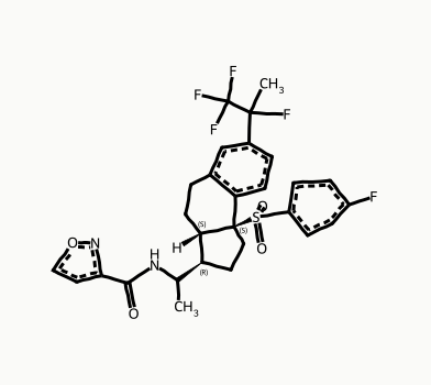 CC(NC(=O)c1ccon1)[C@@H]1CC[C@@]2(S(=O)(=O)c3ccc(F)cc3)c3ccc(C(C)(F)C(F)(F)F)cc3CC[C@@H]12